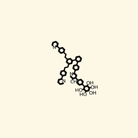 Cc1cnc(-c2ccc(-c3ccccc3-c3cc(CCc4ccc(-c5ccccn5)cc4)cc(CCc4ccc(-c5ccccn5)cc4)c3)cc2)cc1-c1ccc(-c2c(O)c(O)c(O)c(O)c2O)cc1